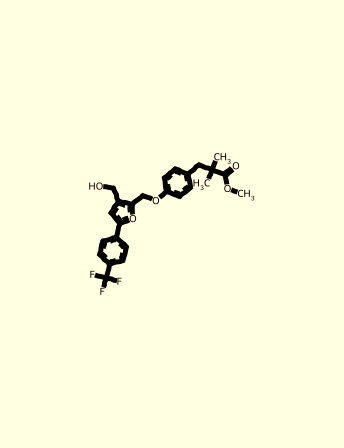 COC(=O)C(C)(C)Cc1ccc(OCc2oc(-c3ccc(C(F)(F)F)cc3)cc2CO)cc1